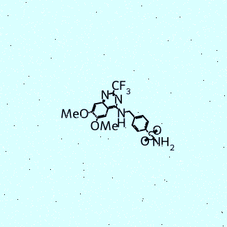 COc1cc2nc(C(F)(F)F)nc(NCc3ccc(S(N)(=O)=O)cc3)c2cc1OC